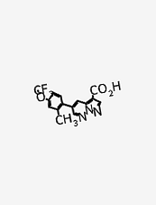 Cc1cc(OC(F)(F)F)ccc1-c1cnn2ncc(C(=O)O)c2c1